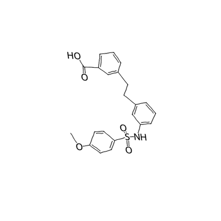 COc1ccc(S(=O)(=O)Nc2cccc(CCc3cccc(C(=O)O)c3)c2)cc1